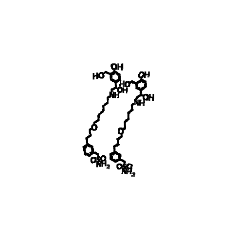 NS(=O)(=O)Cc1cccc(CCCCOCCCCCCNCC(O)c2ccc(O)c(CO)c2)c1.NS(=O)(=O)Cc1cccc(CCCOCCCCCCCNCC(O)c2ccc(O)c(CO)c2)c1